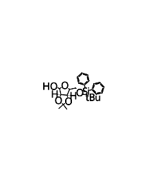 CC1(C)O[C@@H]2C(CO[Si](c3ccccc3)(c3ccccc3)C(C)(C)C)OC(O)[C@@H]2O1